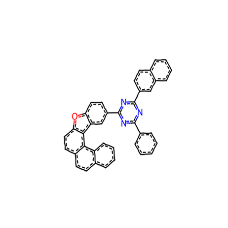 c1ccc(-c2nc(-c3ccc4ccccc4c3)nc(-c3ccc4oc5ccc6ccc7ccccc7c6c5c4c3)n2)cc1